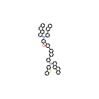 c1cc(-c2ccc3ccc(-c4ccc5c(c4)oc4ccc(N(c6cccc(-c7ccc8ccccc8c7)c6)c6cccc7c6ccc6c8ccccc8ccc76)cc45)cc3c2)cc(N(c2ccc3c(c2)sc2ccccc23)c2cccc3c2ccc2c4ccccc4ccc32)c1